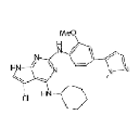 COc1cc(-c2ccnn2C)ccc1Nc1nc(NC2CCCCC2)c2c(Cl)c[nH]c2n1